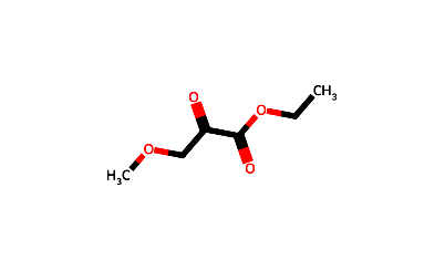 CCOC(=O)C(=O)COC